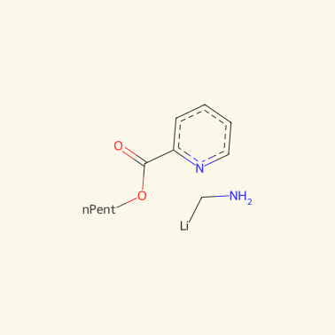 CCCCCOC(=O)c1ccccn1.[Li][CH2]N